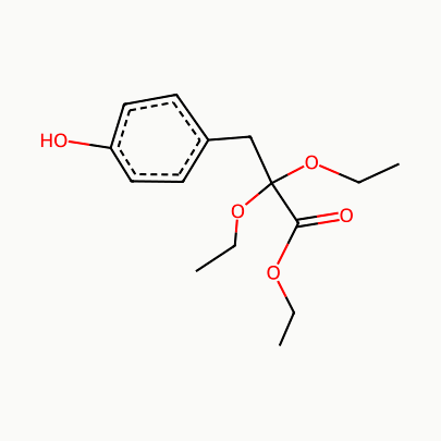 CCOC(=O)C(Cc1ccc(O)cc1)(OCC)OCC